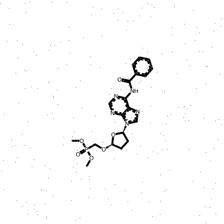 COP(=O)(CO[C@@H]1[CH]C[C@H](n2cnc3c(NC(=O)c4ccccc4)ncnc32)O1)OC